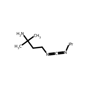 CC(C)N=C=NCCC(C)(C)N